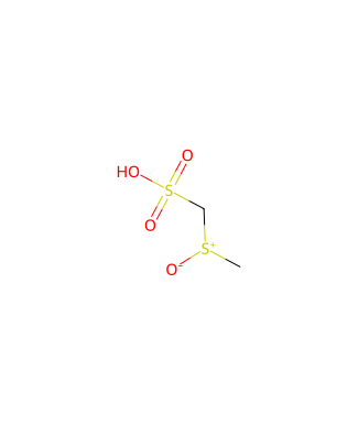 C[S+]([O-])CS(=O)(=O)O